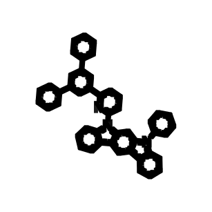 c1ccc(-c2cc(-c3ccccc3)cc(-c3cccc(-n4c5ccccc5c5cc6c7ccccc7n(-c7ccccc7)c6cc54)n3)c2)cc1